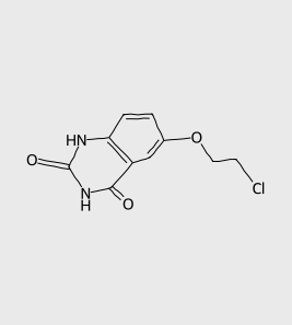 O=c1[nH]c(=O)c2cc(OCCCl)ccc2[nH]1